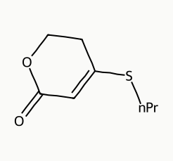 CCCSC1=CC(=O)OCC1